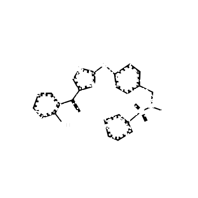 Cc1ccccc1C(=O)c1cnc(Nc2ccc(CN(F)S(=O)(=O)c3ccccc3)cc2)s1